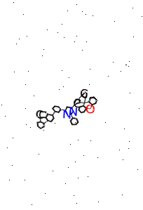 c1ccc2c(c#1)C1(c3ccccc3O2)c2ccccc2-c2ccc(-c3cc(-c4cccc(-c5ccc6c7c(cccc57)-c5ccccc5-6)c4)nc(-c4ccccc4)n3)cc21